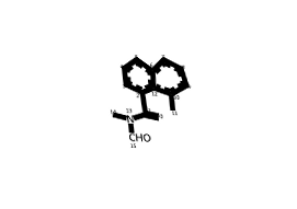 C=C(c1cccc2cccc(C)c12)N(C)C=O